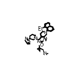 CCc1cccc2cccc(N3CCc4c(nc(OCC5(CN(C)C)CC5)nc4N4CCCC(n5cccn5)C4)C3)c12